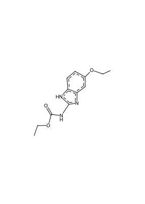 CCOC(=O)Nc1nc2cc(OCC)ccc2[nH]1